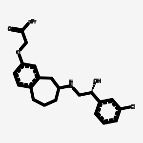 CCCC(=O)COc1ccc2c(c1)CC(NC[C@H](O)c1cccc(Cl)c1)CCC2